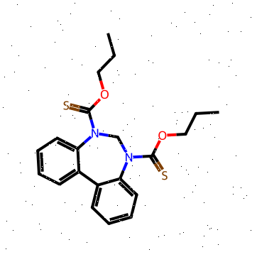 CCCOC(=S)N1CN(C(=S)OCCC)c2ccccc2-c2ccccc21